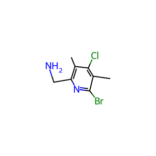 Cc1c(Br)nc(CN)c(C)c1Cl